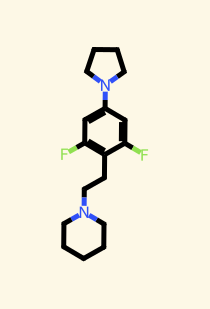 Fc1cc(N2CCCC2)cc(F)c1CCN1CCCCC1